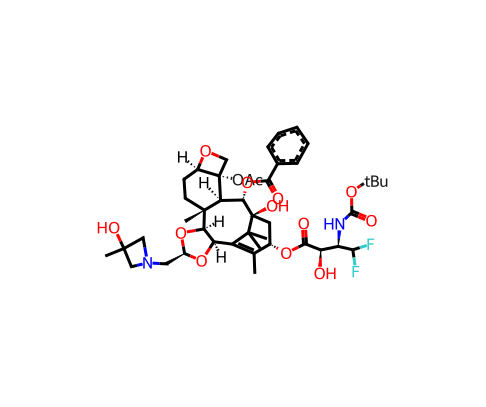 CC(=O)O[C@@]12CO[C@@H]1CC[C@@]1(C)[C@@H]3O[C@H](CN4CC(C)(O)C4)O[C@@H]3C3=C(C)[C@@H](OC(=O)[C@H](O)[C@@H](NC(=O)OC(C)(C)C)C(F)F)C[C@@](O)([C@@H](OC(=O)c4ccccc4)[C@@H]12)C3(C)C